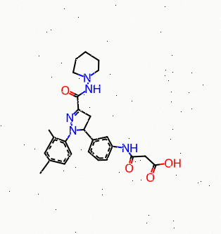 Cc1ccc(N2N=C(C(=O)NN3CCCCC3)CC2c2cccc(NC(=O)CC(=O)O)c2)c(C)c1